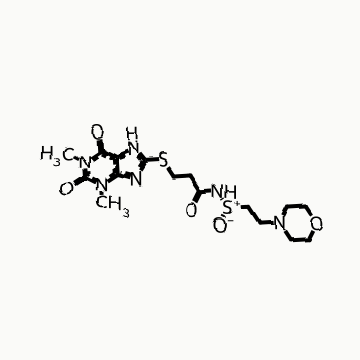 Cn1c(=O)c2[nH]c(SCCC(=O)N[S+]([O-])CCN3CCOCC3)nc2n(C)c1=O